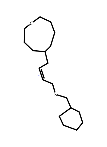 C(=C/CC1CCCCCCCC1)/CSCC1CCCCC1